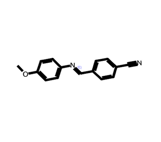 COc1ccc(/N=C/c2ccc(C#N)cc2)cc1